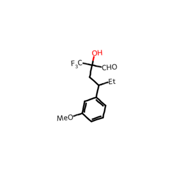 CCC(CC(O)(C=O)C(F)(F)F)c1cccc(OC)c1